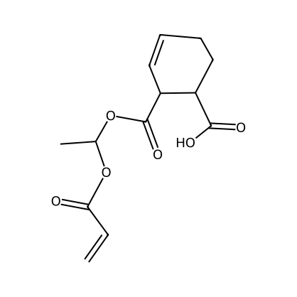 C=CC(=O)OC(C)OC(=O)C1C=CCCC1C(=O)O